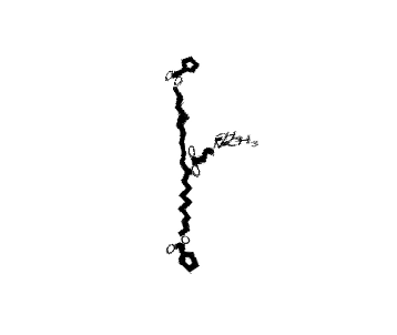 CN(C)CCCC(=O)OC(CCCCCCCCCOC(=O)C1CCCC1)CCCCCCCCCOC(=O)C1CCCC1